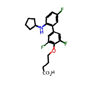 O=C(O)CCCOc1c(F)cc(-c2cc(F)ccc2NC2CCCC2)cc1F